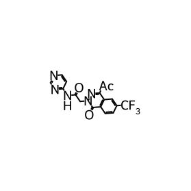 CC(=O)c1nn(CC(=O)Nc2ccncn2)c(=O)c2ccc(C(F)(F)F)cc12